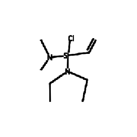 C=C[Si](Cl)(N(C)C)N(CC)CC